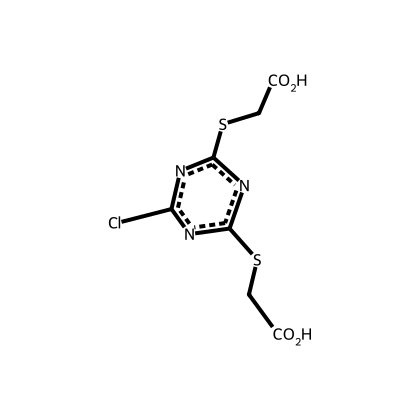 O=C(O)CSc1nc(Cl)nc(SCC(=O)O)n1